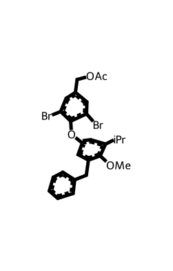 COc1c(Cc2ccccc2)cc(Oc2c(Br)cc(COC(C)=O)cc2Br)cc1C(C)C